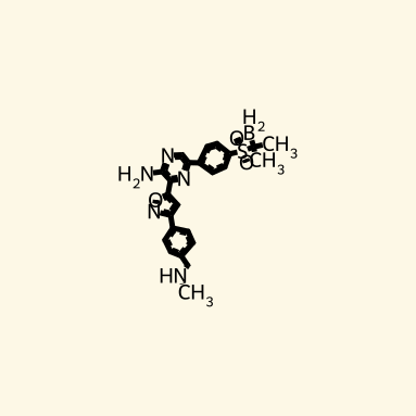 BC(C)(C)S(=O)(=O)c1ccc(-c2cnc(N)c(-c3cc(-c4ccc(CNC)cc4)no3)n2)cc1